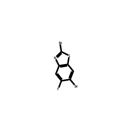 Fc1cc2nc(Br)sc2cc1Br